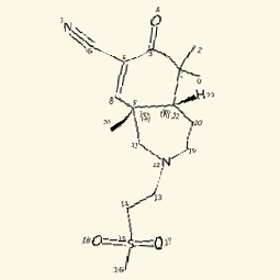 CC1(C)C(=O)C(C#N)=C[C@@]2(C)CN(CCS(C)(=O)=O)CC[C@@H]12